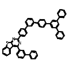 c1ccc(-c2cc(-c3ccccc3)cc(-c3ccc(-c4cccc(-c5ccc(-c6nc(-c7cccc(-c8ccccc8)c7)c7c(n6)sc6ccccc67)cc5)c4)cc3)c2)cc1